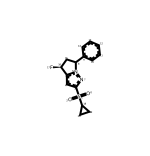 O=S(=O)(c1cc2n(n1)C(c1ccccc1)C[C@@H]2F)C1CC1